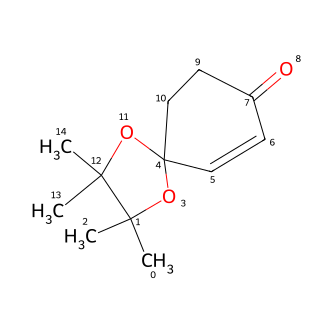 CC1(C)OC2(C=CC(=O)CC2)OC1(C)C